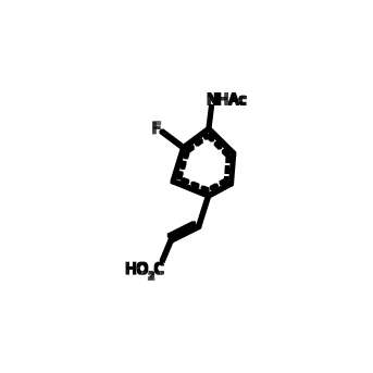 CC(=O)Nc1ccc(C=CC(=O)O)cc1F